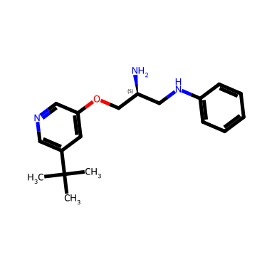 CC(C)(C)c1cncc(OC[C@@H](N)CNc2ccccc2)c1